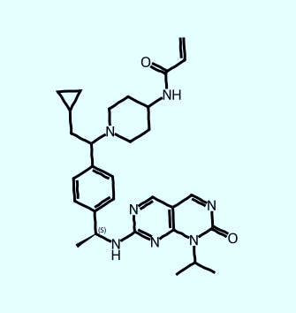 C=CC(=O)NC1CCN(C(CC2CC2)c2ccc([C@H](C)Nc3ncc4cnc(=O)n(C(C)C)c4n3)cc2)CC1